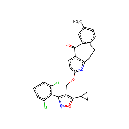 O=C(O)c1ccc2c(c1)C(=O)c1ccc(OCc3c(-c4c(Cl)cccc4Cl)noc3C3CC3)nc1CC2